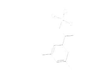 Cc1cc(C)cc(C(C)C[Si](Cl)(Cl)Cl)c1